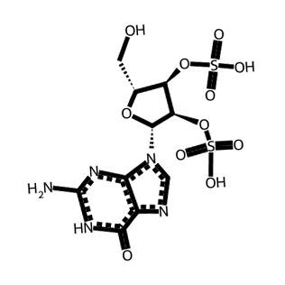 Nc1nc2c(ncn2[C@@H]2O[C@H](CO)[C@@H](OS(=O)(=O)O)[C@H]2OS(=O)(=O)O)c(=O)[nH]1